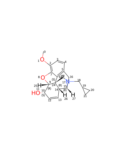 COc1ccc2c3c1O[C@H]1[C@@H](O)C=C[C@H]4[C@@H](C2)N(CC2CC2)CC[C@@]341